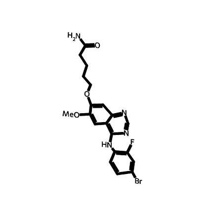 COc1cc2c(Nc3ccc(Br)cc3F)ncnc2cc1OCCCCC(N)=O